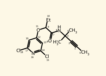 CC#CC(C)(C)NC(=O)C(CC)Oc1cc(Cl)nc(Cl)c1